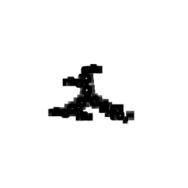 CCCCOc1ccc(-c2ccc(N(c3ccc(-c4ccc(/C=C(\C#N)C(=O)O)s4)cc3)c3ccc(-c4ccc(OCCCC)cc4OCCCC)cc3)cc2)c(OCCCC)c1